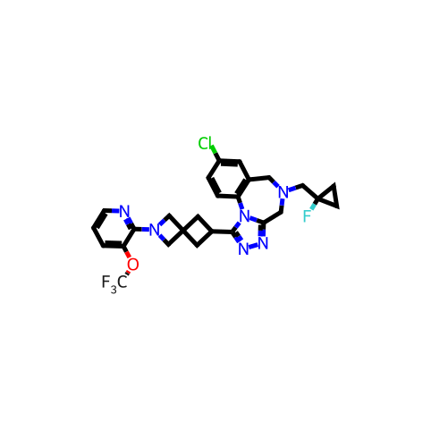 FC1(CN2Cc3cc(Cl)ccc3-n3c(nnc3C3CC4(C3)CN(c3ncccc3OC(F)(F)F)C4)C2)CC1